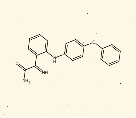 N=C(C(N)=O)c1ccccc1Nc1ccc(Oc2ccccc2)cc1